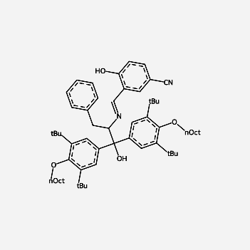 CCCCCCCCOc1c(C(C)(C)C)cc(C(O)(c2cc(C(C)(C)C)c(OCCCCCCCC)c(C(C)(C)C)c2)C(Cc2ccccc2)N=Cc2cc(C#N)ccc2O)cc1C(C)(C)C